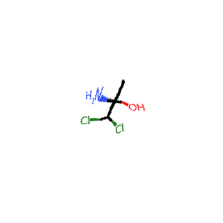 CC(N)(O)C(Cl)Cl